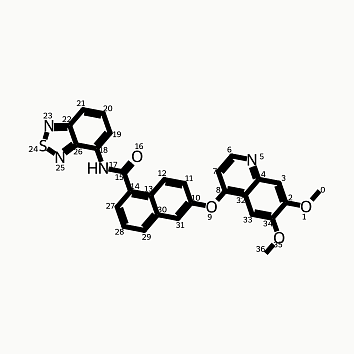 COc1cc2nccc(Oc3ccc4c(C(=O)Nc5cccc6nsnc56)cccc4c3)c2cc1OC